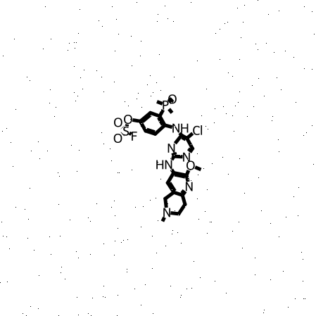 COc1nc2c(cc1Nc1ncc(Cl)c(Nc3ccc(OS(=O)(=O)F)cc3P(C)(C)=O)n1)CN(C)CC2